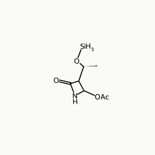 CC(=O)OC1NC(=O)C1[C@@H](C)O[SiH3]